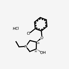 CCN1C[C@@H](O)[C@H](Oc2ccccc2Cl)C1.Cl